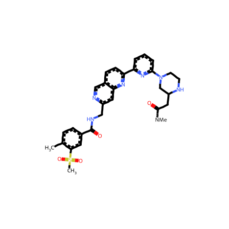 CNC(=O)CC1CN(c2cccc(-c3ccc4cnc(CNC(=O)c5ccc(C)c(S(C)(=O)=O)c5)cc4n3)n2)CCN1